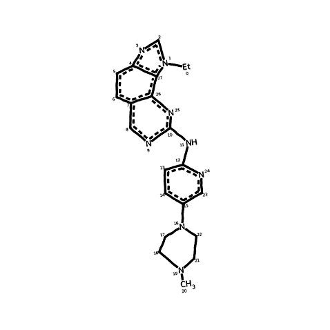 CCn1cnc2ccc3cnc(Nc4ccc(N5CCN(C)CC5)cn4)nc3c21